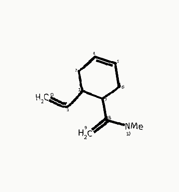 C=CC1CC=CCC1C(=C)NC